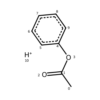 CC(=O)Oc1ccccc1.[H+]